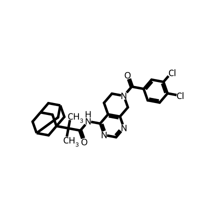 CC(C)(C(=O)Nc1ncnc2c1CCN(C(=O)c1ccc(Cl)c(Cl)c1)C2)C12CC3CC(CC(C3)C1)C2